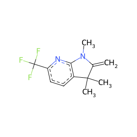 C=C1N(C)c2nc(C(F)(F)F)ccc2C1(C)C